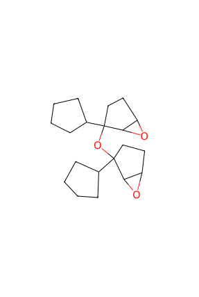 C1CCC(C2(OC3(C4CCCC4)CCC4OC43)CCC3OC32)C1